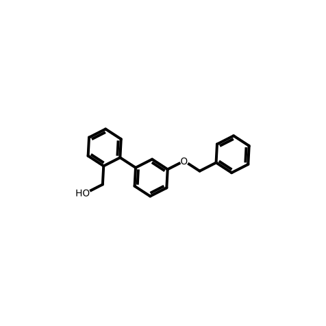 OCc1ccccc1-c1cccc(OCc2ccccc2)c1